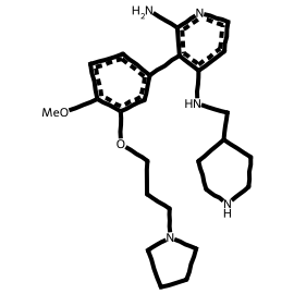 COc1ccc(-c2c(NCC3CCNCC3)ccnc2N)cc1OCCCN1CCCC1